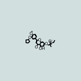 CC[N+]([O-])=C(C)COc1cc(O)c2c(=O)cc(-c3ccc(OC)c(OC4CCCC4)c3)oc2c1